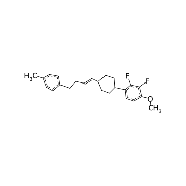 COc1ccc(C2CCC(/C=C/CCc3ccc(C)cc3)CC2)c(F)c1F